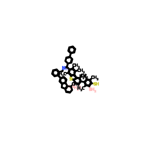 Bc1c(C)c(-c2c(B)c(B)c3sc4c(C)c(/C(=N\Cc5ccccc5-c5ccc6c(c5)CC5=C6C(C)CC=C5)C5C=CC(c6ccccc6)=CC5)c(C)c(C)c4c3c2C)c(C)c(C)c1S